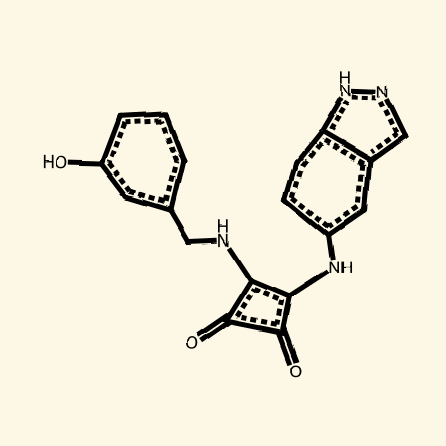 O=c1c(NCc2cccc(O)c2)c(Nc2ccc3[nH]ncc3c2)c1=O